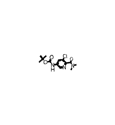 CN(C)C(=O)c1ncc(NC(=O)OC(C)(C)C)cc1Cl